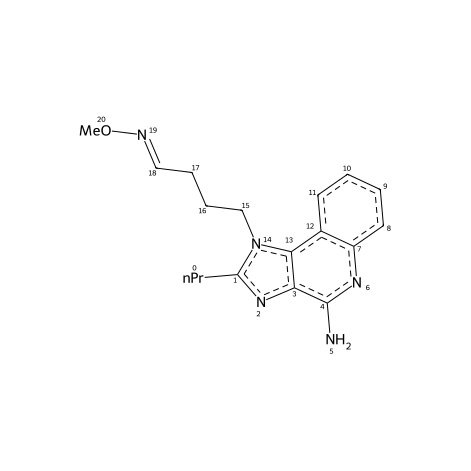 CCCc1nc2c(N)nc3ccccc3c2n1CCC/C=N/OC